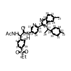 CCS(=O)(=O)c1ccc(C(NC(C)=O)C(=O)Nc2ccc(-c3nc4ccc(C)cc4n3C(C)c3ccc(C)cc3)nc2)cc1